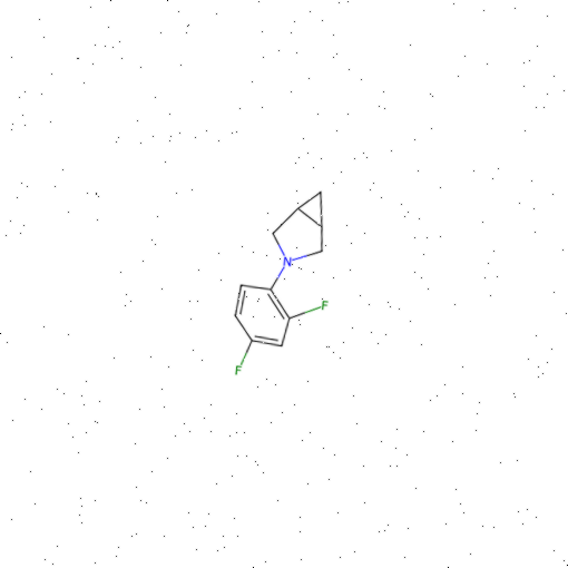 Fc1ccc(N2CC3CC3C2)c(F)c1